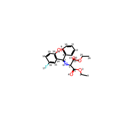 CCOC(=O)C(N=C(c1ccccc1)c1cc(F)ccc1O)C(=O)OCC